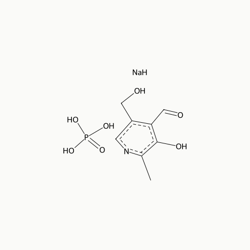 Cc1ncc(CO)c(C=O)c1O.O=P(O)(O)O.[NaH]